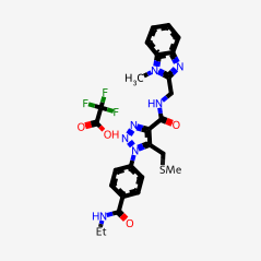 CCNC(=O)c1ccc(-n2nnc(C(=O)NCc3nc4ccccc4n3C)c2CSC)cc1.O=C(O)C(F)(F)F